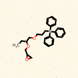 CCC(COCCC[Si](c1ccccc1)(c1ccccc1)c1ccccc1)OCC1CO1